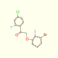 O=C(COc1cccc(Br)c1I)c1ccc(Cl)cc1F